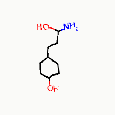 NC(O)CCC1CCC(O)CC1